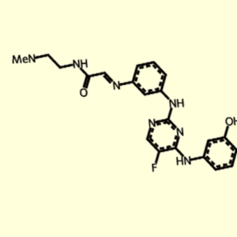 CNCCNC(=O)C=Nc1cccc(Nc2ncc(F)c(Nc3cccc(O)c3)n2)c1